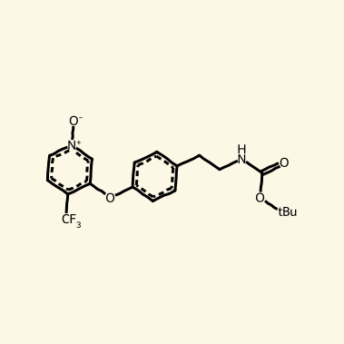 CC(C)(C)OC(=O)NCCc1ccc(Oc2c[n+]([O-])ccc2C(F)(F)F)cc1